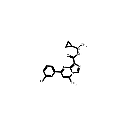 Cc1cc(-c2cccc(Cl)c2)nc2c(C(=O)N[C@@H](C)C3CC3)ncn12